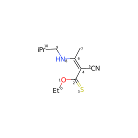 CCOC(=S)C(C#N)=C(C)NCC(C)C